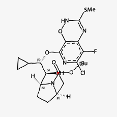 CSC1=Nc2c(F)c(Cl)nc(O[C@@H](C3CC3)[C@H]3NC[C@H]4CC[C@@H]3N4C(=O)OC(C)(C)C)c2ON1